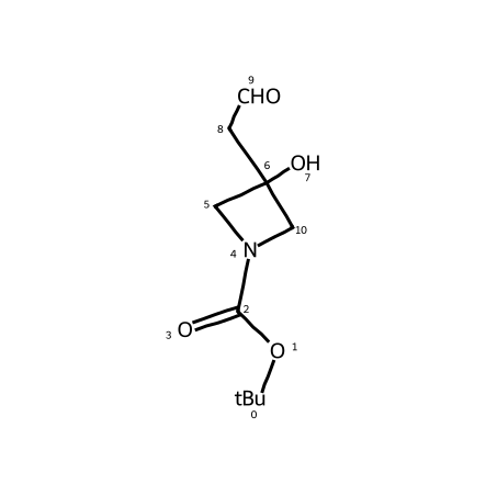 CC(C)(C)OC(=O)N1CC(O)(CC=O)C1